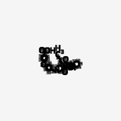 CCCCN1C(=O)[C@@H](CC2(O)CCCCC2)NC(=O)C12CCN(Cc1ccc(Oc3ccc(C(=O)O)cc3)cc1)CC2